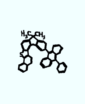 CC1(C)c2ccc(-c3c4ccccc4c(-c4ccccc4)c4ccccc34)cc2-c2c1ccc1sc3c4ccccc4ccc3c21